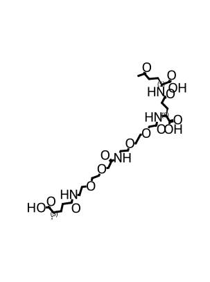 CC(=O)CC[C@H](NC(=O)CC[C@H](NC(=O)COCCOCCNC(=O)COCCOCCNC(=O)CC[C@H](C)C(=O)O)C(=O)O)C(=O)O